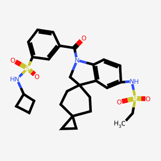 CCS(=O)(=O)Nc1ccc2c(c1)C1(CCC3(CC3)CC1)CN2C(=O)c1cccc(S(=O)(=O)NC2CCC2)c1